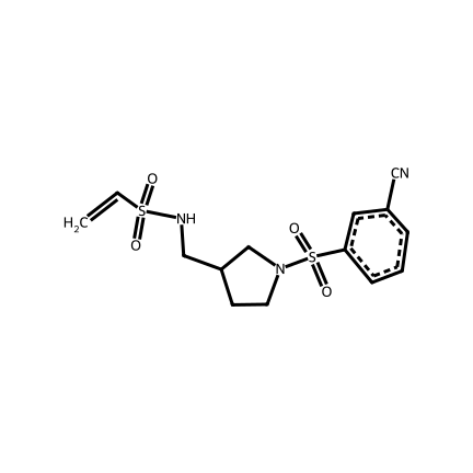 C=CS(=O)(=O)NCC1CCN(S(=O)(=O)c2cccc(C#N)c2)C1